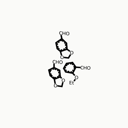 CCOc1ccccc1C=O.O=Cc1ccc2c(c1)OCO2.O=Cc1ccc2c(c1)OCO2